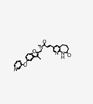 Cc1c(CN(C)C(=O)/C=C/c2cnc3c(c2)CCCC(=O)N3)oc2ccc(Oc3cccnc3)cc12